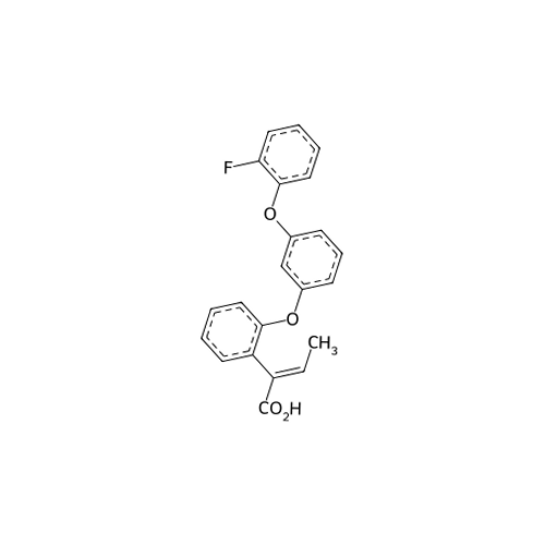 C/C=C(/C(=O)O)c1ccccc1Oc1cccc(Oc2ccccc2F)c1